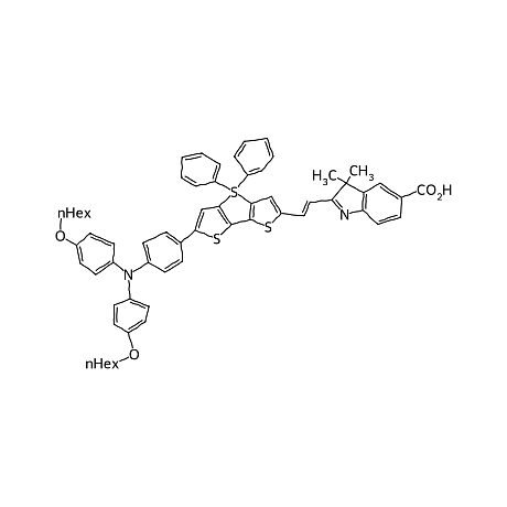 CCCCCCOc1ccc(N(c2ccc(OCCCCCC)cc2)c2ccc(-c3cc4c(s3)-c3sc(/C=C/C5=Nc6ccc(C(=O)O)cc6C5(C)C)cc3S4(c3ccccc3)c3ccccc3)cc2)cc1